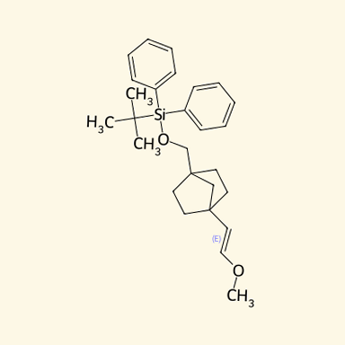 CO/C=C/C12CCC(CO[Si](c3ccccc3)(c3ccccc3)C(C)(C)C)(CC1)C2